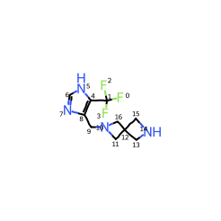 FC(F)(F)c1[nH]cnc1CN1CC2(CNC2)C1